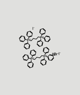 [Br-].[Br-].[I-].[I-].c1ccc([P+](CCCC[P+](c2ccccc2)(c2ccccc2)c2ccccc2)(c2ccccc2)c2ccccc2)cc1.c1ccc([P+](CCCC[P+](c2ccccc2)(c2ccccc2)c2ccccc2)(c2ccccc2)c2ccccc2)cc1